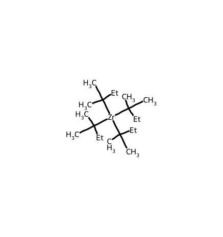 CC[C](C)(C)[Zr]([C](C)(C)CC)([C](C)(C)CC)[C](C)(C)CC